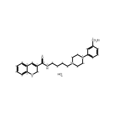 CCOC(=O)c1cccc(N2CCN(CCCCNC(=O)C3=Cc4ccccc4OC3)CC2)c1.Cl